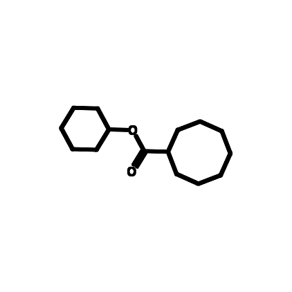 O=C(OC1CCCCC1)C1CCCCCCC1